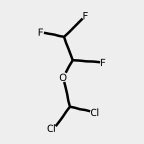 FC(F)C(F)OC(Cl)Cl